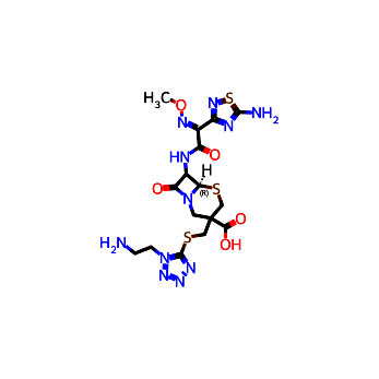 CON=C(C(=O)NC1C(=O)N2CC(CSc3nnnn3CCN)(C(=O)O)CS[C@H]12)c1nsc(N)n1